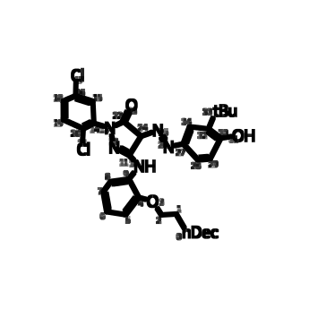 CCCCCCCCCCCCOc1ccccc1NC1=NN(c2cc(Cl)ccc2Cl)C(=O)C1N=Nc1ccc(O)c(C(C)(C)C)c1